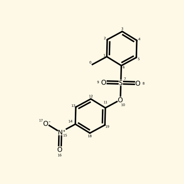 Cc1ccccc1S(=O)(=O)Oc1ccc([N+](=O)[O-])cc1